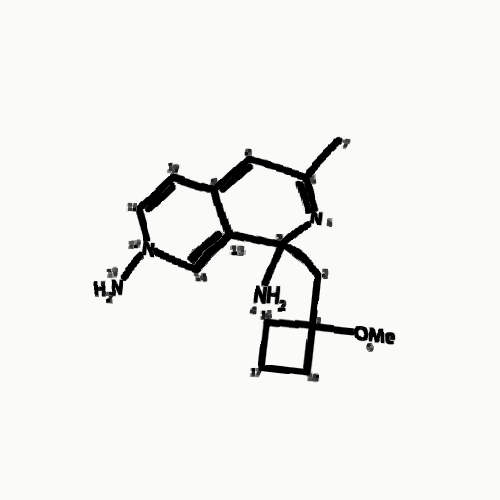 COC1(CC2(N)N=C(C)C=C3C=CN(N)C=C32)CCC1